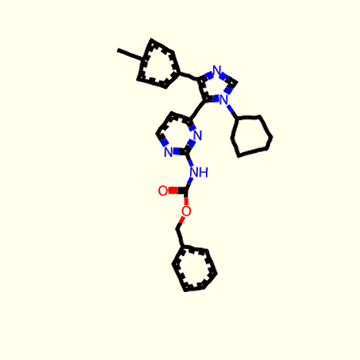 Cc1ccc(-c2ncn(C3CCCCC3)c2-c2ccnc(NC(=O)OCc3ccccc3)n2)cc1